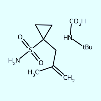 C=C(C)CC1(S(N)(=O)=O)CC1.CC(C)(C)NC(=O)O